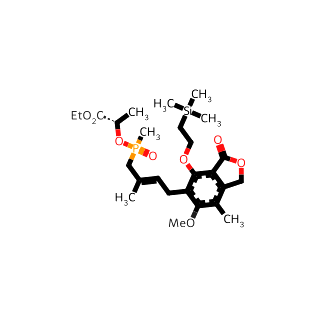 CCOC(=O)[C@H](C)OP(C)(=O)C/C(C)=C/Cc1c(OC)c(C)c2c(c1OCC[Si](C)(C)C)C(=O)OC2